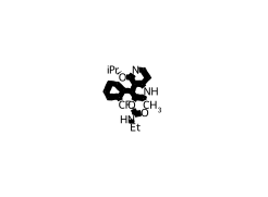 CCNC(=O)OC1=C(C)Nc2ccnc(OC(C)C)c2C1c1ccccc1C(F)(F)F